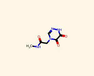 CNC(=O)Cn1[c]n[nH]c(=O)c1=O